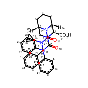 O=C(O)[C@@H]1[C@H]2CCC[C@@H](CN1C(=O)N(c1ccccc1)c1ccccc1)N2C(=O)N(Cc1ccccc1)C1CC1